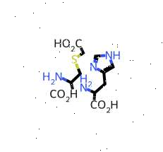 NC(CSCC(=O)O)C(=O)O.NC(Cc1c[nH]cn1)C(=O)O